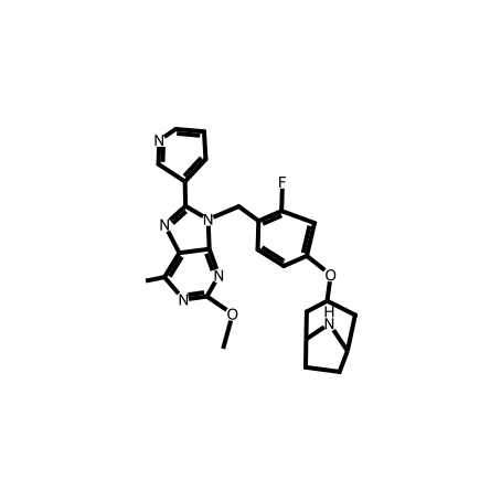 COc1nc(C)c2nc(-c3cccnc3)n(Cc3ccc(OC4CC5CCC(C4)N5)cc3F)c2n1